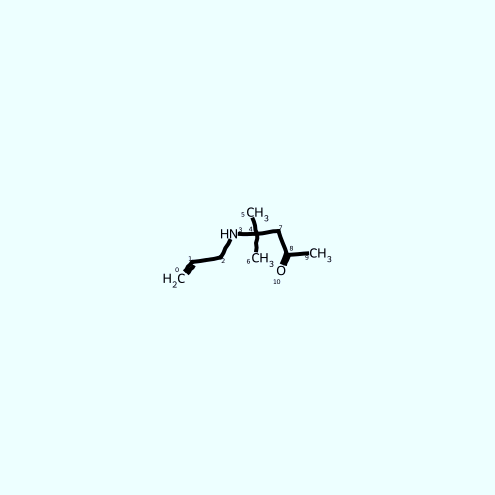 C=CCNC(C)(C)CC(C)=O